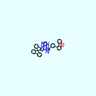 c1cc(-c2cccc3oc4ccccc4c23)cc(-c2cnc3c4cc5c(n4c4nccnc4n23)-c2ccccc2C52c3ccccc3-c3ccccc32)c1